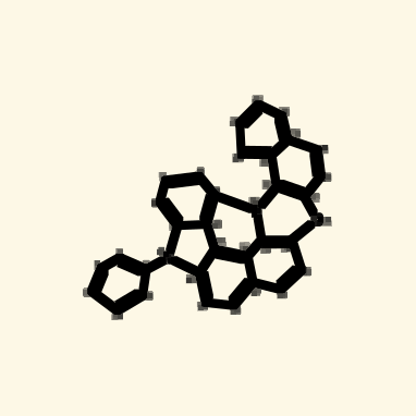 c1ccc(-n2c3cccc4c3c3c5c6c(ccc5ccc32)Oc2ccc3ccccc3c2B64)cc1